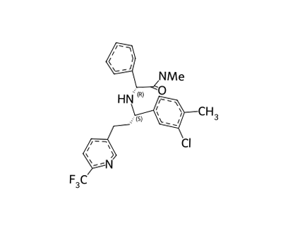 CNC(=O)[C@H](N[C@@H](CCc1ccc(C(F)(F)F)nc1)c1ccc(C)c(Cl)c1)c1ccccc1